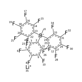 C[B-](c1c(F)c(F)c(F)c(F)c1F)(c1c(F)c(F)c(F)c(F)c1F)c1c(F)c(F)c(F)c(F)c1F.[Li+]